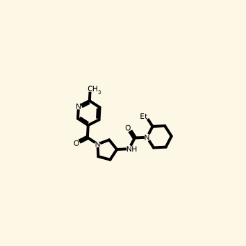 CCC1CCCCN1C(=O)NC1CCN(C(=O)c2ccc(C)nc2)C1